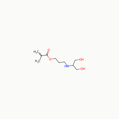 C=C(C)C(=O)OCCCNC(CO)CO